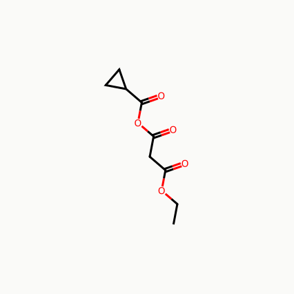 CCOC(=O)CC(=O)OC(=O)C1CC1